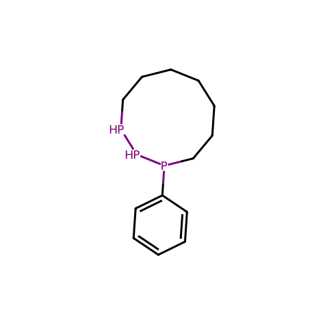 c1ccc(P2CCCCCCCPP2)cc1